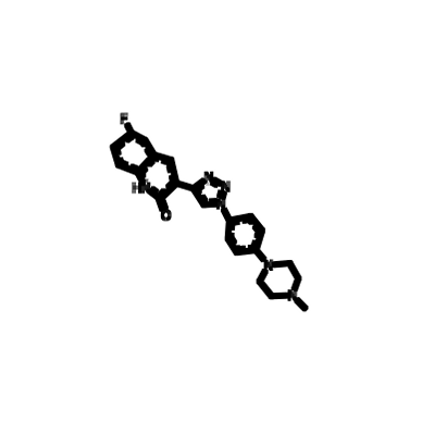 CN1CCN(c2ccc(-n3cc(-c4cc5cc(F)ccc5[nH]c4=O)nn3)cc2)CC1